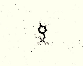 C[N+](C)(C)Cc1ccc(I)cc1.[I-]